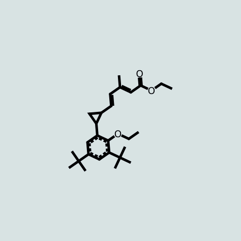 CCOC(=O)C=C(C)C=CC1CC1c1cc(C(C)(C)C)cc(C(C)(C)C)c1OCC